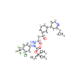 CCc1cc(-c2cccc(C(=O)CC(=O)NN(C(=O)OC(C)(C)C)c3ccc(C(F)(F)F)c(Cl)c3)c2)ccn1